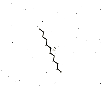 CCCCCCCCCCCC.O